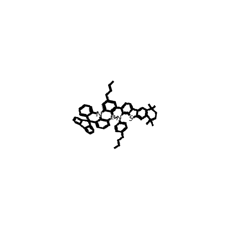 CCCCc1ccc(N2B3c4cccc5c4N(c4ccccc4C54c5ccccc5-c5ccccc54)c4cc(CCCC)cc(c43)-c3ccc4c(sc5cc6c(cc54)C(C)(C)CCC6(C)C)c32)cc1